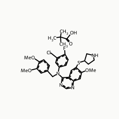 CC(C)(C)C(=O)O.COc1ccc(CN(c2ccc(F)c(Cl)c2)c2ncnc3cc(OC)c(SC4CCNC4)cc23)cc1OC